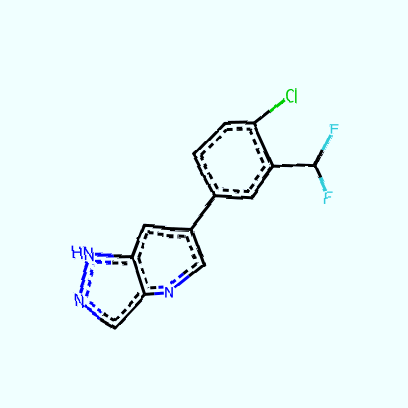 FC(F)c1cc(-c2cnc3cn[nH]c3c2)ccc1Cl